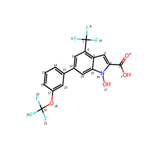 O=C(O)c1cc2c(C(F)(F)F)cc(-c3cccc(OC(F)(F)F)c3)cc2n1O